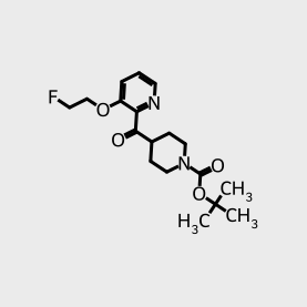 CC(C)(C)OC(=O)N1CCC(C(=O)c2ncccc2OCCF)CC1